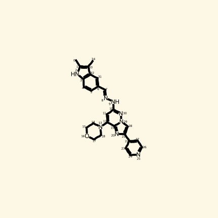 Cc1[nH]c2ccc(C=NNc3cc(N4CCOCC4)c4nc(-c5ccncc5)cn4n3)cc2c1C